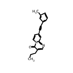 CCCc1cnc2cc(C#Cc3cccc(C)c3)ccn2c1=O